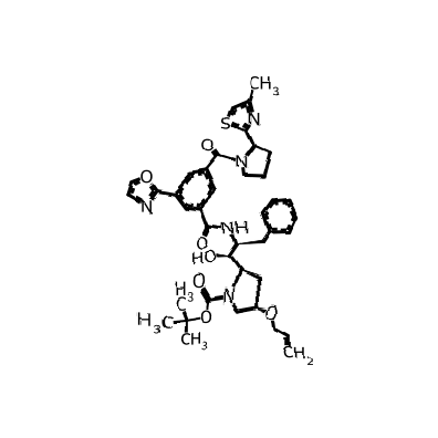 C=CCO[C@@H]1C[C@H]([C@@H](O)[C@H](Cc2ccccc2)NC(=O)c2cc(C(=O)N3CCCC3c3nc(C)cs3)cc(-c3ncco3)c2)N(C(=O)OC(C)(C)C)C1